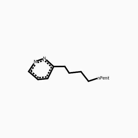 CCCCCCCCCc1cccnn1